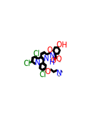 COC(=O)[C@]1(NC(=O)c2ccc(-c3ncc(Cl)cc3Cl)c(-c3ccc(Cl)c(OCCCN(C)C)c3)n2)CC[C@H](O)CC1